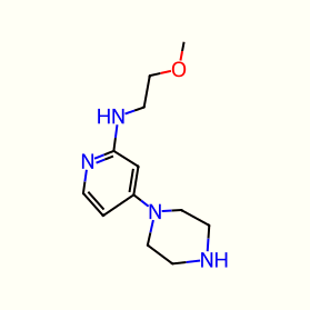 COCCNc1cc(N2CCNCC2)ccn1